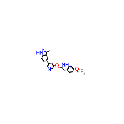 Cc1n[nH]c2ccc(-c3cncc(OC[C@@H](N)Cc4ccc(OC(F)(F)F)cc4)c3)cc12